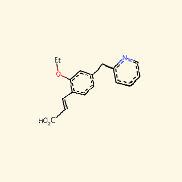 CCOc1cc(Cc2ccccn2)ccc1C=CC(=O)O